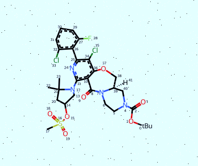 CC(C)(C)OC(=O)N1CCN2C(=O)c3c(N4CC(OS(C)(=O)=O)CC4(C)C)nc(-c4c(F)cccc4Cl)c(Cl)c3OC[C@H]2C1